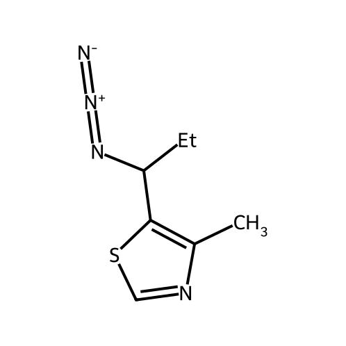 CCC(N=[N+]=[N-])c1scnc1C